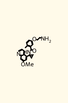 COc1cc(C2(NC(=O)c3cc(OCCN)ccc3C)CC2)c2cccnc2c1